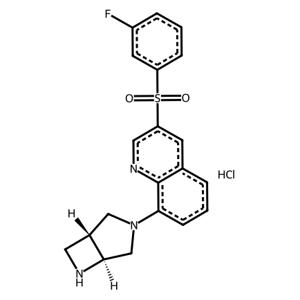 Cl.O=S(=O)(c1cccc(F)c1)c1cnc2c(N3C[C@H]4CN[C@@H]4C3)cccc2c1